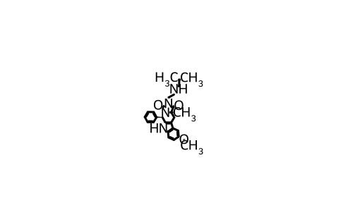 COc1ccc2[nH]c3c(c2c1)C[C@@]1(C)C(=O)N(CCNCC(C)C)C(=O)N1[C@@H]3c1ccccc1